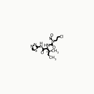 CC[C@H](C)[C@H](NC(=O)N(CCCl)N=O)C(=O)Nc1nncs1